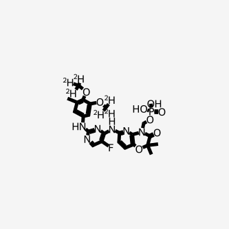 [2H]C([2H])([2H])Oc1cc(Nc2ncc(F)c(Nc3ccc4c(n3)N(COP(=O)(O)O)C(=O)C(C)(C)O4)n2)cc(C)c1OC([2H])([2H])[2H]